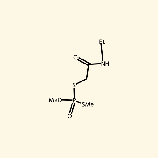 CCNC(=O)CSP(=O)(OC)SC